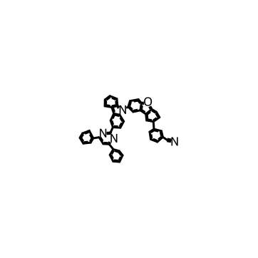 N#Cc1cccc(-c2ccc3oc4ccc(-n5c6ccccc6c6cc(-c7nc(-c8ccccc8)cc(-c8ccccc8)n7)ccc65)cc4c3c2)c1